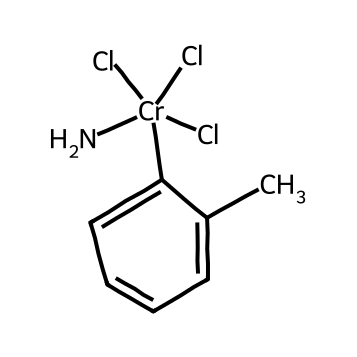 Cc1cccc[c]1[Cr]([NH2])([Cl])([Cl])[Cl]